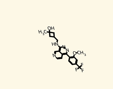 COc1cc(C(F)(F)F)ccc1-c1nnc(NCC2CC(C)(O)C2)c2cnccc12